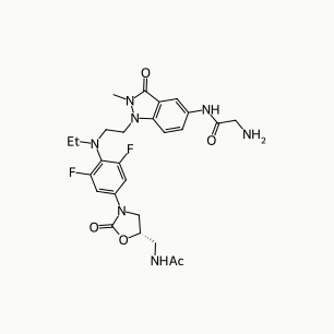 CCN(CCn1c2ccc(NC(=O)CN)cc2c(=O)n1C)c1c(F)cc(N2C[C@H](CNC(C)=O)OC2=O)cc1F